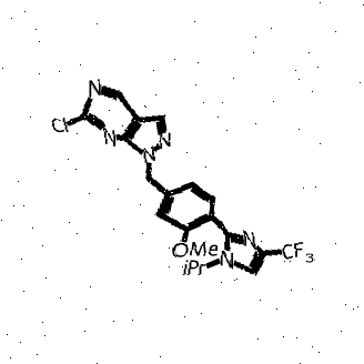 COc1cc(Cn2ncc3cnc(Cl)nc32)ccc1-c1nc(C(F)(F)F)cn1C(C)C